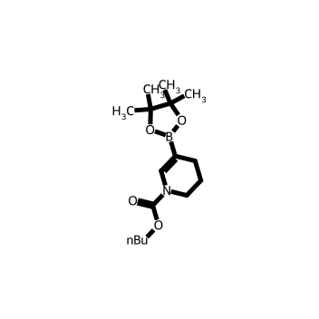 CCCCOC(=O)N1C=C(B2OC(C)(C)C(C)(C)O2)CCC1